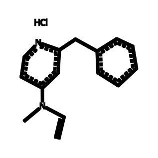 C=CN(C)c1ccnc(Cc2ccccc2)c1.Cl